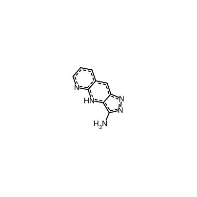 Nc1nnc2cc3cccnc3[nH]c1-2